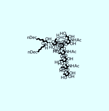 CCCCCCCCCCCCC/C=C/[C@@H](O)[C@H](CO[C@@H]1OC(CO)[C@@H](O[C@@H]2OC(CO)[C@H](O[C@@H]3OC(CO)[C@H](O)[C@H](O[C@@H]4OC(CO)[C@H](O)[C@H](O[C@@H]5OC(CO)[C@H](O)[C@H](O[C@H]6OC(C)[C@@H](O)C(O)[C@@H]6O)C5NC(C)=O)C4O)C3NC(C)=O)[C@H](O[C@]3(C(=O)O)CC(O)[C@@H](NC(C)=O)C([C@H](O)[C@H](O)CO)O3)C2O)[C@H](O)C1O)NC(=O)CCCCCCCCCCCCCCC